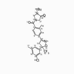 CCCCN1CN(C(=O)c2ccc(C3=NOC(c4cc(C)cc(Cl)c4)(C(F)(F)F)C3)cc2C)CC1=O